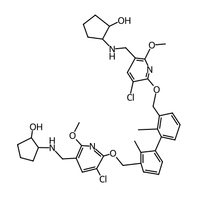 COc1nc(OCc2cccc(-c3cccc(COc4nc(OC)c(CNC5CCCC5O)cc4Cl)c3C)c2C)c(Cl)cc1CNC1CCCC1O